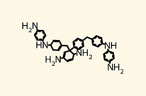 NC1=CC(CC2=CCC(Nc3ccc(N)cc3)C=C2)(c2ccc(Cc3ccc(Nc4ccc(N)cc4)cc3)cc2)C(N)C=C1